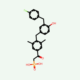 Cc1cc(C(=O)CP(=O)(O)O)cc(C)c1Cc1ccc(O)c(Cc2ccc(F)cc2)c1